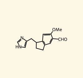 COc1cc2c(cc1C=O)CCC2Cc1c[nH]cn1